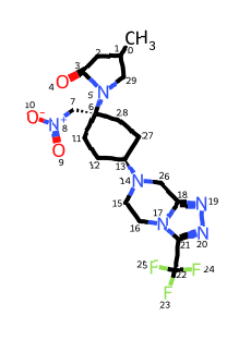 CC1CC(=O)N([C@]2(C[N+](=O)[O-])CC[C@H](N3CCn4c(nnc4C(F)(F)F)C3)CC2)C1